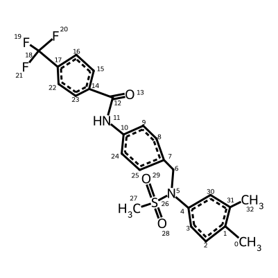 Cc1ccc(N(Cc2ccc(NC(=O)c3ccc(C(F)(F)F)cc3)cc2)S(C)(=O)=O)cc1C